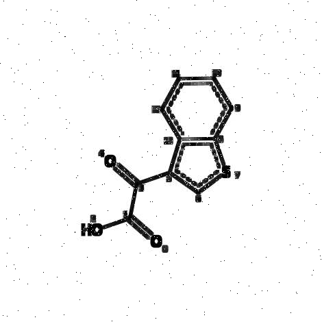 O=C(O)C(=O)c1csc2ccccc12